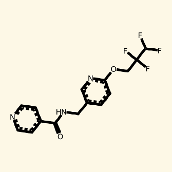 O=C(NCc1ccc(OCC(F)(F)C(F)F)nc1)c1ccncc1